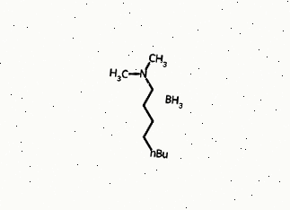 B.CCCCCCCCN(C)C